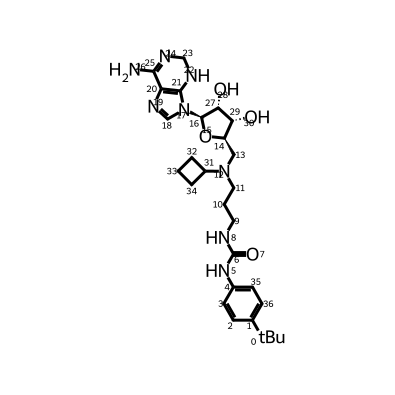 CC(C)(C)c1ccc(NC(=O)NCCCN(C[C@H]2O[C@@H](n3cnc4c3NCN=C4N)[C@H](O)[C@@H]2O)C2CCC2)cc1